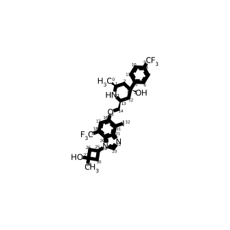 C[C@H]1C[C@@](O)(c2ccc(C(F)(F)F)cc2)C[C@@H](COc2cc(C(F)(F)F)c3c(ncn3C3CC(C)(O)C3)c2I)N1